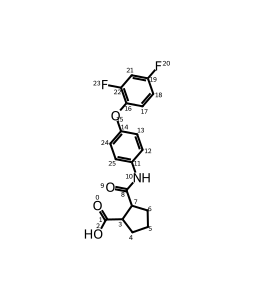 O=C(O)C1CCCC1C(=O)Nc1ccc(Oc2ccc(F)cc2F)cc1